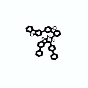 c1ccc(-c2ccc(-c3nc(-c4cccc5oc6ccc(-c7ccc8oc9ccccc9c8c7)cc6c45)nc4sc5ccc(-c6ccccc6)cc5c34)cc2)cc1